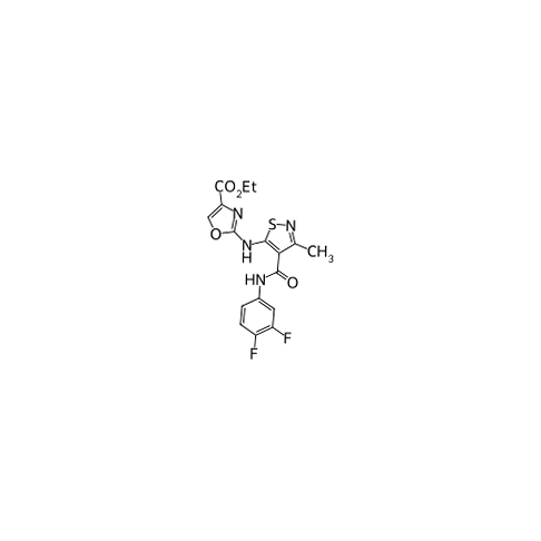 CCOC(=O)c1coc(Nc2snc(C)c2C(=O)Nc2ccc(F)c(F)c2)n1